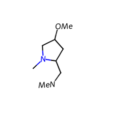 CNCC1CC(OC)CN1C